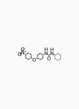 O=C(Nc1ccc(Oc2ccc([N+](=O)[O-])cc2)cc1)NC1CCCCC1